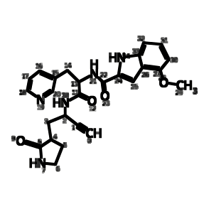 C#CC(CC1CCNC1=O)NC(=O)C(Cc1cccnc1)NC(=O)c1cc2c(OC)cccc2[nH]1